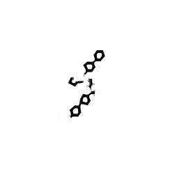 O=C(N[C@@H](CN(Cc1ccc(-c2ccccc2)cc1)Cc1ccco1)C(=O)O)c1ccc(-c2ccc(C(F)(F)F)cc2)cc1